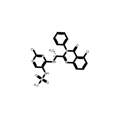 C[C@@H](Nc1nc(Cl)ncc1NS(C)(=O)=O)c1nc2cccc(Cl)c2c(=O)n1-c1ccccc1